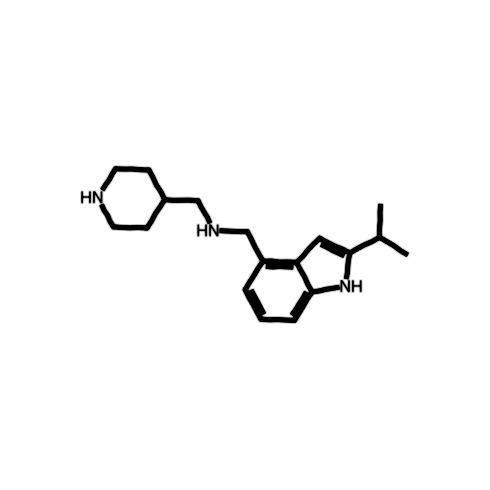 CC(C)c1cc2c(CNCC3CCNCC3)cccc2[nH]1